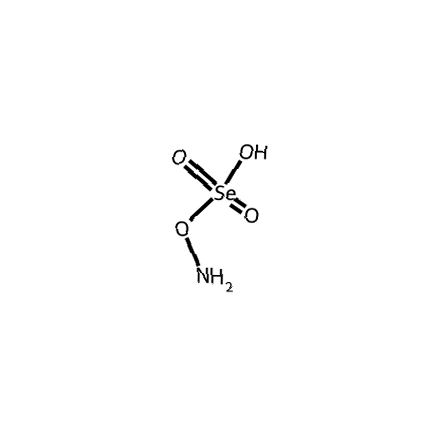 NO[Se](=O)(=O)O